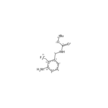 CC(C)(C)OC(=O)NCc1cccc(N)c1C(F)(F)F